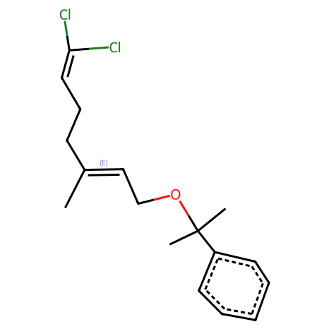 C/C(=C\COC(C)(C)c1ccccc1)CCC=C(Cl)Cl